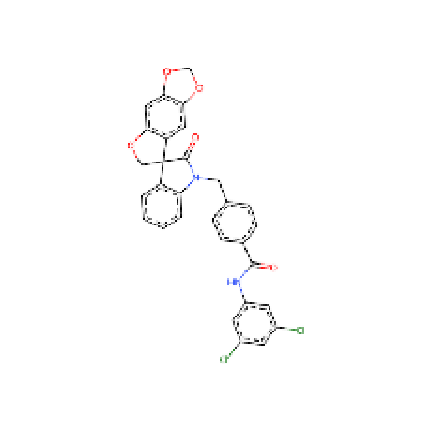 O=C(Nc1cc(Cl)cc(Cl)c1)c1ccc(CN2C(=O)C3(COc4cc5c(cc43)OCO5)c3ccccc32)cc1